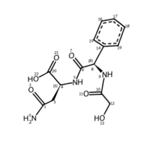 NC(=O)C[C@H](NC(=O)[C@H](NC(=O)CO)c1ccccc1)C(=O)O